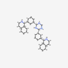 c1cc(-c2ncnc(-c3cccc(-c4nccc5ccccc45)c3)n2)cc(-c2nccc3ccccc23)c1